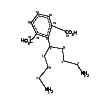 NCCCC(CCCN)c1c(C(=O)O)cccc1C(=O)O